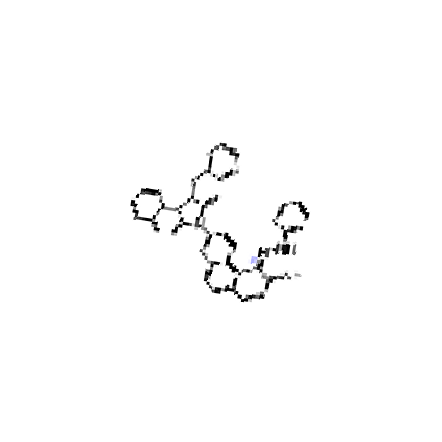 N=C1C=Cc2ccc3cc(-n4c5cc6ccccc6cc5c5c6ccccc6ccc54)ccc3c2/C1=N/Nc1ccccc1